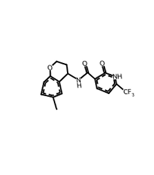 Cc1ccc2c(c1)C(NC(=O)c1ccc(C(F)(F)F)[nH]c1=O)CCO2